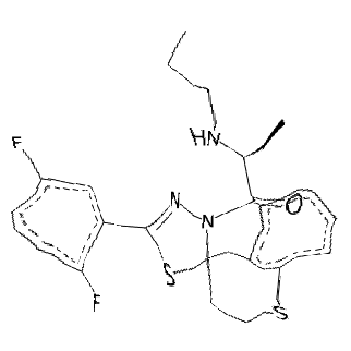 CCCN[C@@H](C)C(=O)N1N=C(c2cc(F)ccc2F)SC12CCSc1ccccc12